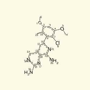 COc1cc(OC)c(Cl)c(-c2cc3cnc(N)nc3c(N)n2)c1C